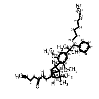 C#CCCC(=O)NCC1=C[C@H](c2c(OC)cc(C(C)(C)[C@H](CCCCCN=[N+]=[N-])c3ccccc3)cc2OC)[C@@H]2C[C@H]1C2(C)C